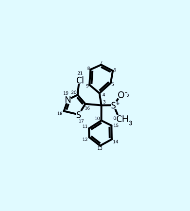 C[S+]([O-])C(c1ccccc1)(c1ccccc1)c1scnc1Cl